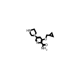 NC(=O)c1ncc(N2CCNCC2)cc1OCC1CC1